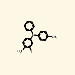 Cc1ccc(N(c2ccccc2)c2ccc(C)c(F)c2)cc1